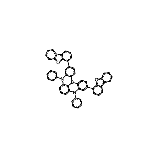 c1ccc(N2c3cc(-c4cccc5c4oc4ccccc45)ccc3B3c4ccc(-c5cccc6c5oc5ccccc56)cc4N(c4ccccc4)c4cccc2c43)cc1